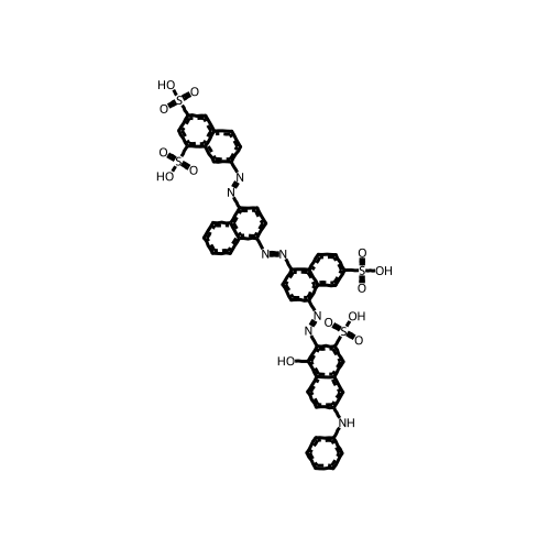 O=S(=O)(O)c1cc(S(=O)(=O)O)c2cc(N=Nc3ccc(N=Nc4ccc(N=Nc5c(S(=O)(=O)O)cc6cc(Nc7ccccc7)ccc6c5O)c5cc(S(=O)(=O)O)ccc45)c4ccccc34)ccc2c1